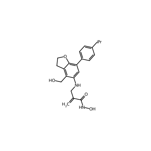 C=C(CNc1cc(-c2ccc(C(C)C)cc2)c2c(c1CO)CCO2)C(=O)NO